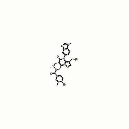 Cc1cc(C(=O)N2Cc3c(c(=O)n(-c4ccc5c(c4)ncn5C)c4c(CC(C)C)cnn34)C[C@H]2C)ccc1Br